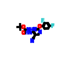 CC(C)(C)OC(=O)NNc1nc(Oc2ccc(F)cc2F)ncc1C#N